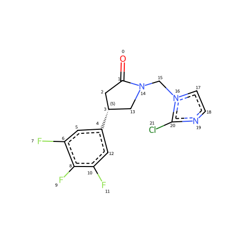 O=C1C[C@@H](c2cc(F)c(F)c(F)c2)CN1Cn1ccnc1Cl